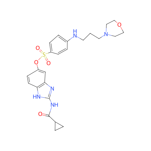 O=C(Nc1nc2cc(OS(=O)(=O)c3ccc(NCCCN4CCOCC4)cc3)ccc2[nH]1)C1CC1